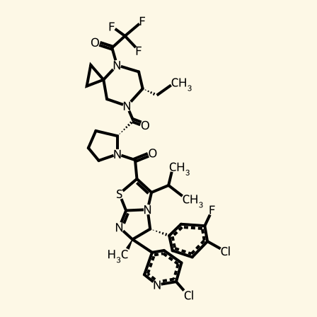 CC[C@H]1CN(C(=O)C(F)(F)F)C2(CC2)CN1C(=O)[C@H]1CCCN1C(=O)C1=C(C(C)C)N2C(=N[C@@](C)(c3ccc(Cl)nc3)[C@H]2c2ccc(Cl)c(F)c2)S1